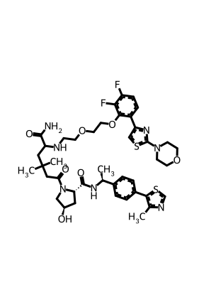 Cc1ncsc1-c1ccc([C@H](C)NC(=O)[C@@H]2C[C@@H](O)CN2C(=O)CC(C)(C)CC(NCCOCCOc2c(-c3csc(N4CCOCC4)n3)ccc(F)c2F)C(N)=O)cc1